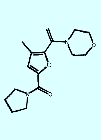 C=C(c1oc(C(=O)N2CCCC2)cc1C)N1CCOCC1